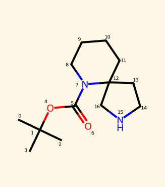 CC(C)(C)OC(=O)N1CCCCC12CCNC2